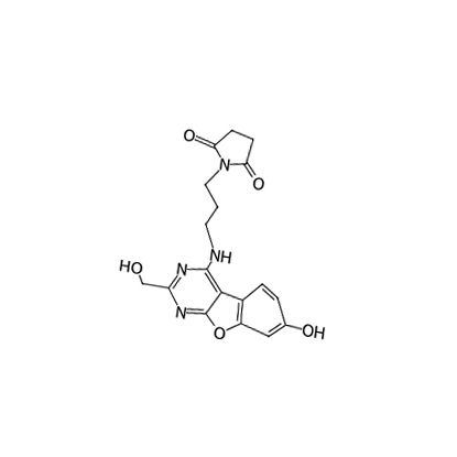 O=C1CCC(=O)N1CCCNc1nc(CO)nc2oc3cc(O)ccc3c12